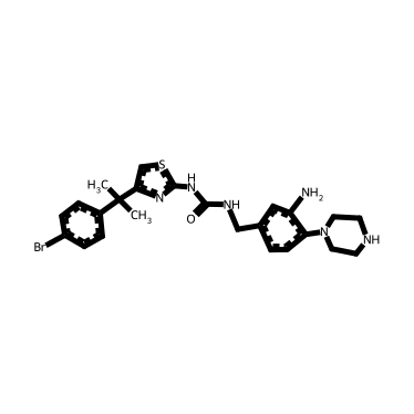 CC(C)(c1ccc(Br)cc1)c1csc(NC(=O)NCc2ccc(N3CCNCC3)c(N)c2)n1